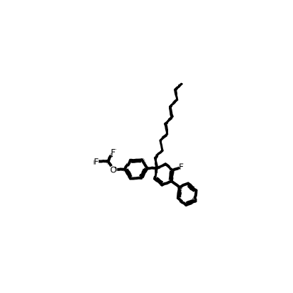 CCCCCCCCCCC1(c2ccc(OC(F)F)cc2)C=CC(c2ccccc2)=C(F)C1